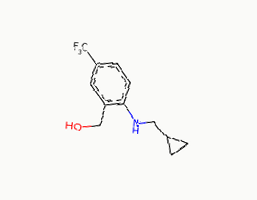 OCc1cc(C(F)(F)F)ccc1NCC1CC1